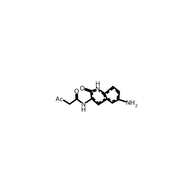 CC(=O)CC(=O)Nc1cc2cc(N)ccc2[nH]c1=O